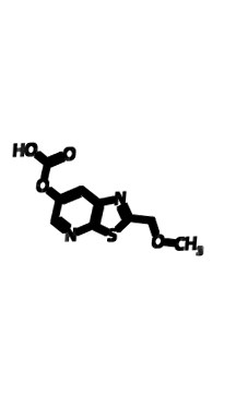 COCc1nc2cc(OC(=O)O)cnc2s1